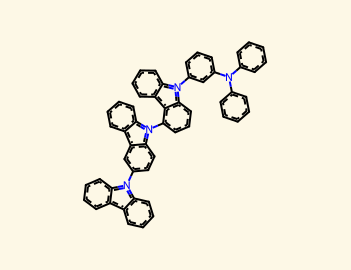 c1ccc(N(c2ccccc2)c2cccc(-n3c4ccccc4c4c(-n5c6ccccc6c6cc(-n7c8ccccc8c8ccccc87)ccc65)cccc43)c2)cc1